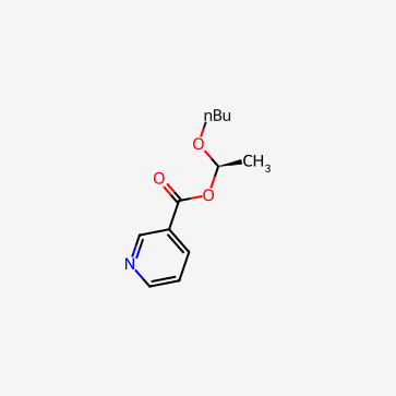 CCCCO[C@@H](C)OC(=O)c1cccnc1